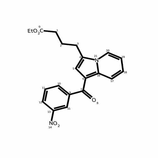 CCOC(=O)CCCc1cc(C(=O)c2cccc([N+](=O)[O-])c2)c2ccccn12